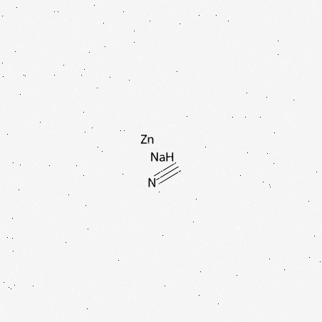 C#N.[NaH].[Zn]